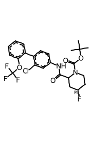 CC(C)(C)OC(=O)N1CC[C@@H](F)CC1C(=O)Nc1ccc(-c2ccccc2OC(F)(F)F)c(Cl)c1